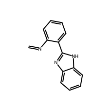 C=Nc1ccccc1-c1nc2ccccc2[nH]1